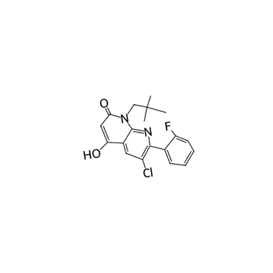 CC(C)(C)Cn1c(=O)cc(O)c2cc(Cl)c(-c3ccccc3F)nc21